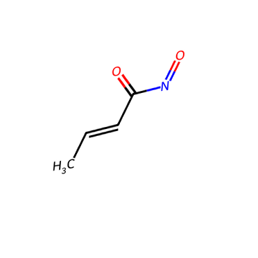 CC=CC(=O)N=O